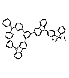 CC1(C)c2ccccc2-c2cc(-n3c4ccccc4c4cc(-c5cc(-c6cccc(N(c7ccccc7)c7ccccc7)c6)cc(-c6ccc7c8ccccc8n(-c8ccccc8)c7c6)c5)ccc43)ccc21